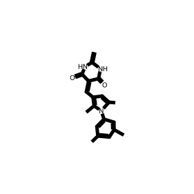 C=c1[nH]c(=O)c(=Cc2cc(C)n(-c3cc(C)cc(C)c3)c2C)c(=O)[nH]1